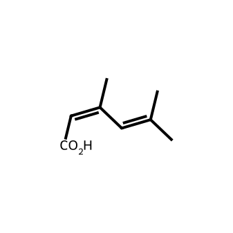 CC(C)=CC(C)=CC(=O)O